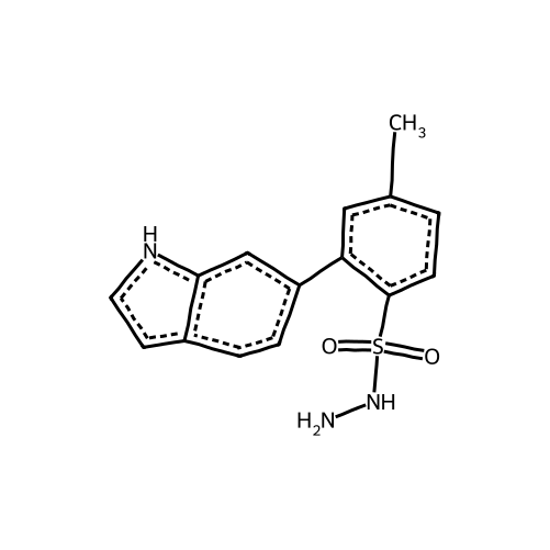 Cc1ccc(S(=O)(=O)NN)c(-c2ccc3cc[nH]c3c2)c1